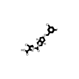 O=C(O)c1nn(C(=O)N2C[C@H]3C[C@H](OCc4cc(F)cc(Cl)c4)C[C@H]3C2)cc1Cl